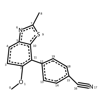 COc1ccc2nc(C)sc2c1-c1ccc(C#N)cc1